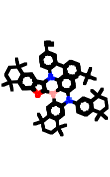 Cc1cc2c3c(c1)N(c1ccc(C(C)(C)C)cc1-c1ccc([Si](C)(C)C)cc1)c1c(oc4cc5c(cc14)C(C)(C)CCC5(C)C)B3c1cc3c(cc1N2c1ccc2c(c1)C(C)(C)CCC2(C)C)C(C)(C)CCC3(C)C